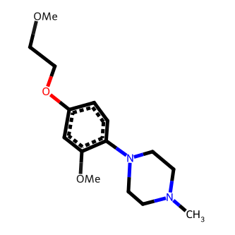 COCCOc1ccc(N2CCN(C)CC2)c(OC)c1